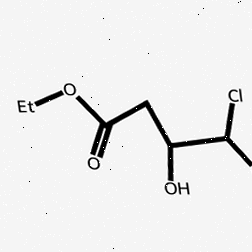 CCOC(=O)CC(O)C(Cl)Cl